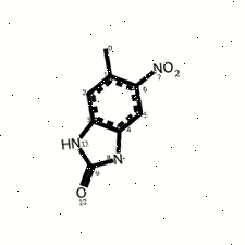 Cc1cc2c(cc1[N+](=O)[O-])[N]C(=O)N2